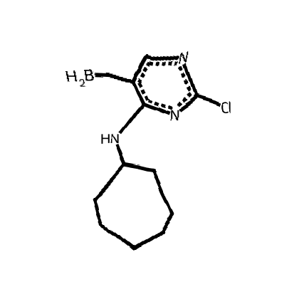 Bc1cnc(Cl)nc1NC1CCCCCC1